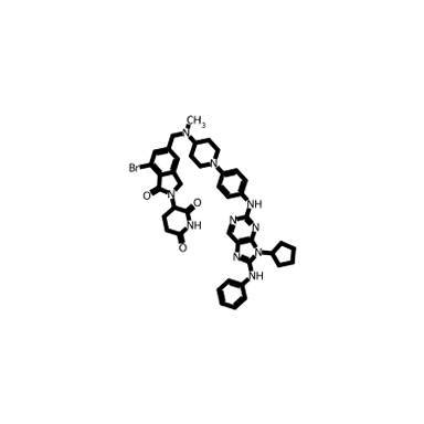 CN(Cc1cc(Br)c2c(c1)CN(C1CCC(=O)NC1=O)C2=O)C1CCN(c2ccc(Nc3ncc4nc(Nc5ccccc5)n(C5CCCC5)c4n3)cc2)CC1